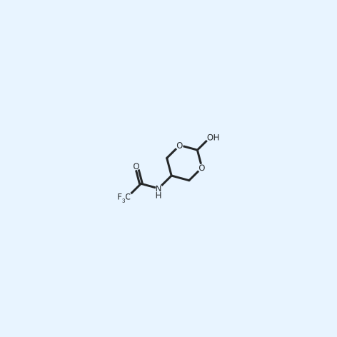 O=C(NC1COC(O)OC1)C(F)(F)F